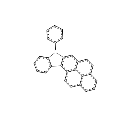 c1ccc(B2c3ccccc3-c3c2cc2ccc4cccc5ccc3c2c45)cc1